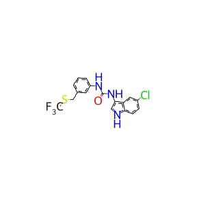 O=C(Nc1cccc(CSC(F)(F)F)c1)Nc1c[nH]c2ccc(Cl)cc12